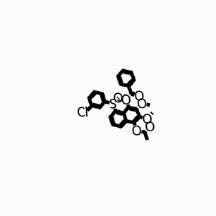 COc1c(OC)c(OC(=O)c2ccccc2)c2c([S+]([O-])c3cccc(Cl)c3)cccc2c1OC(C)=O